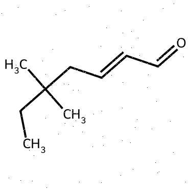 CCC(C)(C)CC=CC=O